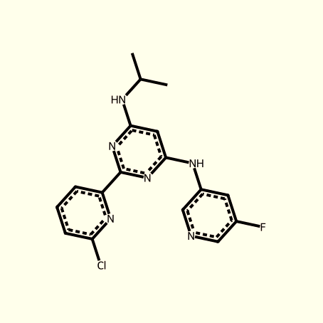 CC(C)Nc1cc(Nc2cncc(F)c2)nc(-c2cccc(Cl)n2)n1